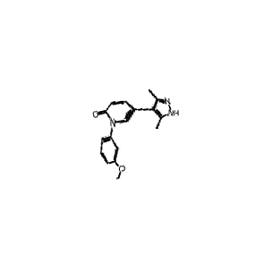 COc1cccc(-n2cc(-c3c(C)n[nH]c3C)ccc2=O)c1